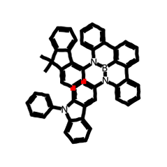 CC1(C)c2ccccc2-c2c(N3B4c5c(cccc5-c5ccccc53)-c3ccccc3N4c3ccc4c(c3)c3ccccc3n4-c3ccccc3)cccc21